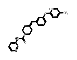 O=C(Nc1cccnn1)N1CCC(=Cc2cccc(OC3=CC=C(C(F)(F)F)CN3)c2)CC1